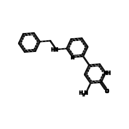 Nc1cc(-c2cccc(NCc3ccccc3)n2)c[nH]c1=O